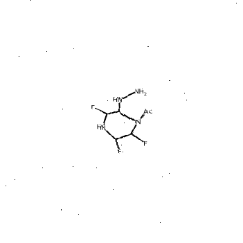 CC(=O)N1C(F)C(F)NC(F)C1NN